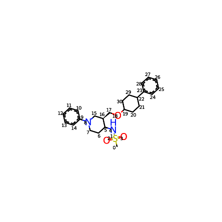 CS(=O)(=O)NC1CCN(c2ccccc2)C[C@H]1COC1CCC(c2ccccc2)CC1